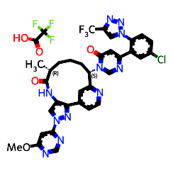 COc1cc(-n2cc3c(n2)-c2ccnc(c2)[C@@H](n2cnc(-c4cc(Cl)ccc4-n4cc(C(F)(F)F)nn4)cc2=O)CCC[C@@H](C)C(=O)N3)ncn1.O=C(O)C(F)(F)F